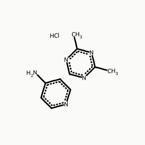 Cc1ncnc(C)n1.Cl.Nc1ccncc1